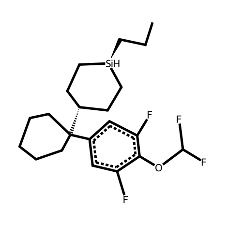 CCC[Si@H]1CC[C@H](C2(c3cc(F)c(OC(F)F)c(F)c3)CCCCC2)CC1